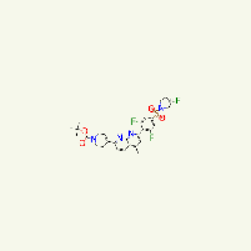 Cc1cc(-c2c(F)cc(S(=O)(=O)N3CC[C@H](F)C3)cc2F)nc2nc(C3=CCN(C(=O)OC(C)(C)C)CC3)ccc12